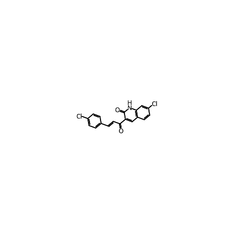 O=C(C=Cc1ccc(Cl)cc1)c1cc2ccc(Cl)cc2[nH]c1=O